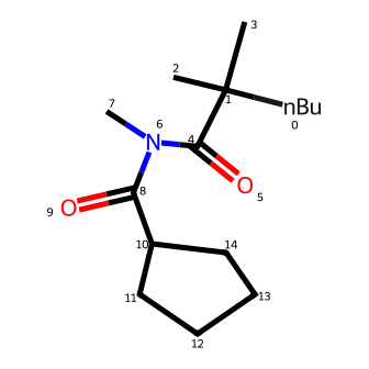 CCCCC(C)(C)C(=O)N(C)C(=O)C1CCCC1